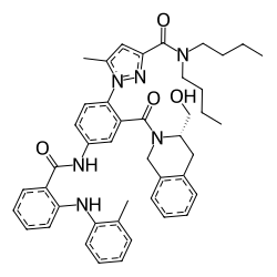 CCCCN(CCCC)C(=O)c1cc(C)n(-c2ccc(NC(=O)c3ccccc3Nc3ccccc3C)cc2C(=O)N2Cc3ccccc3C[C@H]2CO)n1